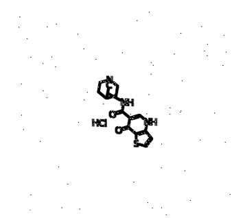 Cl.O=C(NC1CN2CCC1CC2)c1c[nH]c2ccsc2c1=O